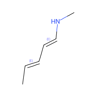 C/C=C/C=C/NC